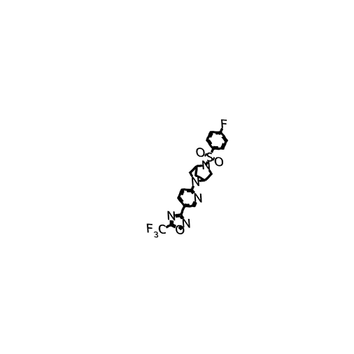 O=S(=O)(c1ccc(F)cc1)N1CC2CC1CN2c1ccc(-c2noc(C(F)(F)F)n2)cn1